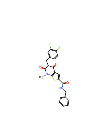 CN1C(=O)C(Cc2ccc(F)c(F)c2)C(=O)c2cc(C(=O)NCc3ccccc3)sc21